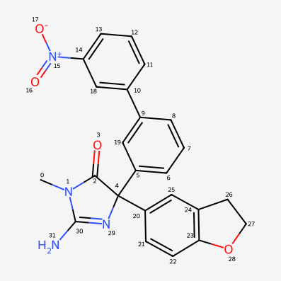 CN1C(=O)C(c2cccc(-c3cccc([N+](=O)[O-])c3)c2)(c2ccc3c(c2)CCO3)N=C1N